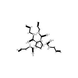 C=CCOC(=O)[C@@H]1[C@H](C(=O)OCC=C)[C@@H](C(=O)OCC=C)C[C@H]1C(=O)OCC=C